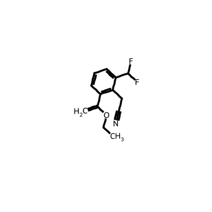 C=C(OCC)c1cccc(C(F)F)c1CC#N